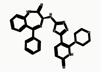 O=C1Nc2ccccc2C(c2ccccc2)=N[C@@H]1Nc1nnc(-c2ccc(=O)[nH]c2N2CCOCC2)o1